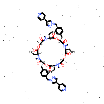 CC(C)C[C@H]1C(=O)O[C@H](Cc2ccc(Cn3cc(-c4ccncc4)cn3)cc2)C(=O)N(C)[C@@H](CC(C)C)C(=O)O[C@H](C)C(=O)N(C)[C@@H](CC(C)C)C(=O)O[C@H](Cc2ccc(Cn3cc(-c4ccncc4)cn3)cc2)C(=O)N(C)[C@@H](CC(C)C)C(=O)O[C@H](C)C(=O)N1C